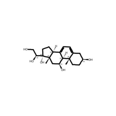 C[C@]12CC[C@H](O)CC1=CC=C1[C@@H]2[C@@H](O)C[C@@]2(C)[C@H]1CC[C@]2(O)[C@@H](O)CO